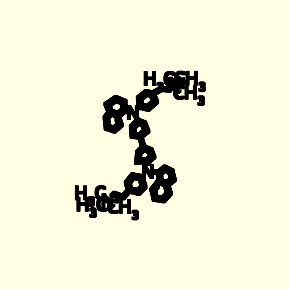 C[N+](C)(C)CCc1ccc(N(c2ccc(-c3ccc(N(c4ccc(CC[N+](C)(C)C)cc4)c4cccc5ccccc45)cc3)cc2)c2cccc3ccccc23)cc1